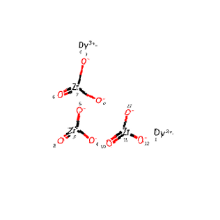 [Dy+3].[Dy+3].[O]=[Zr]([O-])[O-].[O]=[Zr]([O-])[O-].[O]=[Zr]([O-])[O-]